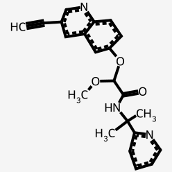 C#Cc1cnc2ccc(OC(OC)C(=O)NC(C)(C)c3ccccn3)cc2c1